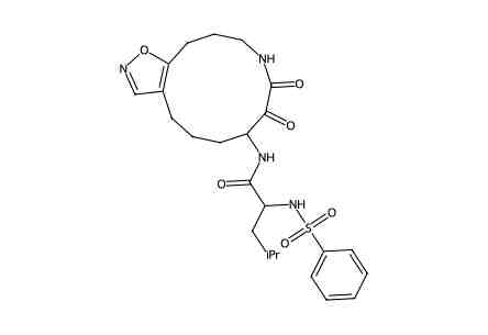 CC(C)CC(NS(=O)(=O)c1ccccc1)C(=O)NC1CCCc2cnoc2CCCNC(=O)C1=O